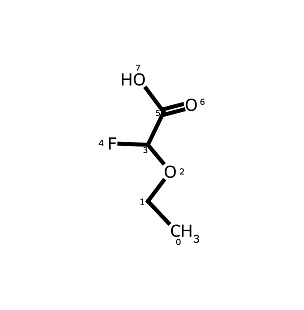 CCOC(F)C(=O)O